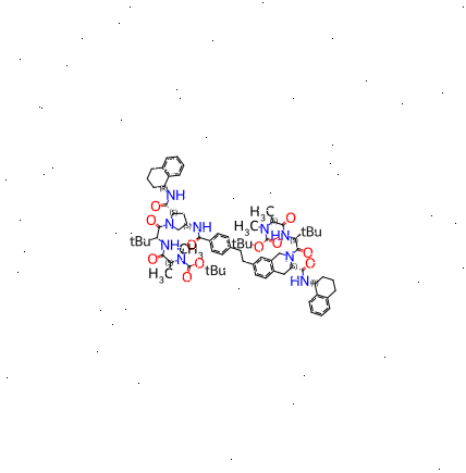 C[C@@H](C(=O)NC(C(=O)N1C[C@@H](NC(=O)c2ccc(CCc3ccc4c(c3)CN(C(=O)[C@@H](NC(=O)[C@H](C)N(C)C(=O)OC(C)(C)C)C(C)(C)C)[C@H](C(=O)N[C@@H]3CCCc5ccccc53)C4)cc2)C[C@H]1C(=O)N[C@@H]1CCCc2ccccc21)C(C)(C)C)N(C)C(=O)OC(C)(C)C